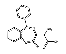 NC(C(=O)O)c1nc(-c2ccccc2)c2ccccc2nc1=O